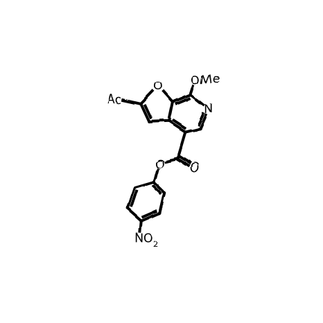 COc1ncc(C(=O)Oc2ccc([N+](=O)[O-])cc2)c2cc(C(C)=O)oc12